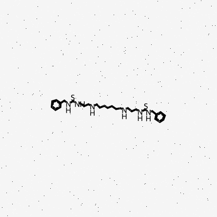 S=C(NCCCNCCCCCCCNCCCNC(=S)NCc1ccccc1)NCc1ccccc1